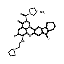 N[C@H]1CCN(C(=O)c2cn3c4cc5c(cc4oc4c(NCCN6CCCC6)c(F)cc(c2=O)c43)c(=O)c2ccccc25)C1